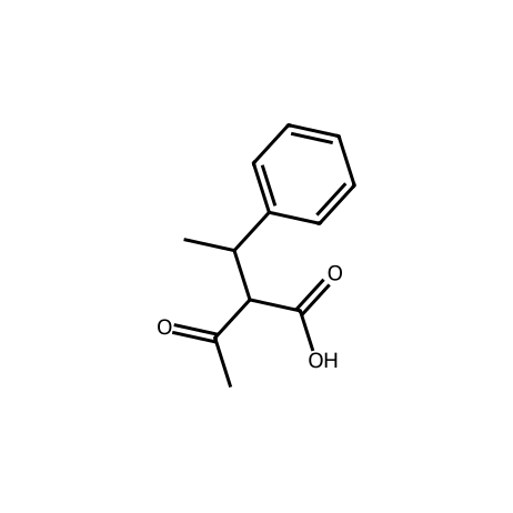 CC(=O)C(C(=O)O)C(C)c1ccccc1